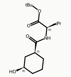 CC(C)[C@@H](NC(=O)[C@H]1CCC[C@@H](O)C1)C(=O)OC(C)(C)C